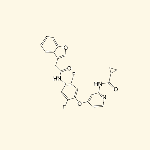 O=C(Cc1coc2ccccc12)Nc1cc(F)c(Oc2ccnc(NC(=O)C3CC3)c2)cc1F